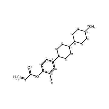 C=CC(=O)Oc1ccc(C2CCC(C3CCC(C)CC3)CC2)cc1F